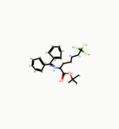 CC(C)(C)OC(=O)C(CCCCC(F)(F)F)N=C(c1ccccc1)c1ccccc1